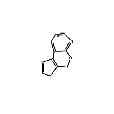 c1cnc2c(c1)-c1nc[nH]c1CO2